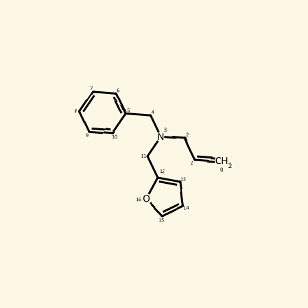 C=CCN(Cc1ccccc1)Cc1ccco1